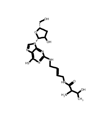 CC(O)C(N)C(=O)NC/C=C/CNc1nc(S)c2ncn([C@@H]3O[C@H](CO)CC3O)c2n1